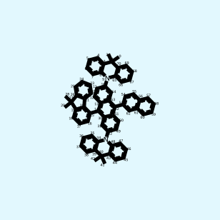 CC1(C)c2ccccc2N(c2ccc3c(-c4cccc5c4-c4ccccc4C5(C)C)c4cc(N5c6ccccc6C(C)(C)c6ccccc65)ccc4c(-c4ccc5ccccc5c4)c3c2)c2ccccc21